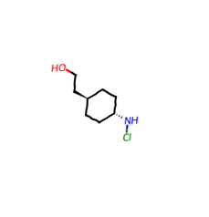 OCC[C@H]1CC[C@H](NCl)CC1